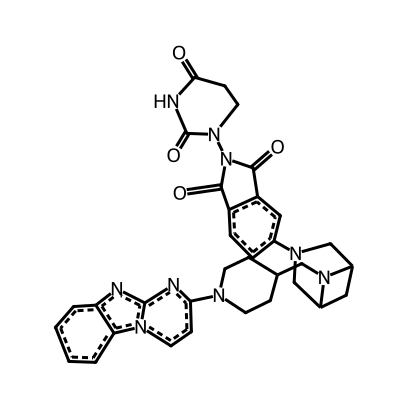 O=C1CCN(N2C(=O)c3ccc(N4CC5CC(C4)N5CC4CCN(c5ccn6c(n5)nc5ccccc56)CC4)cc3C2=O)C(=O)N1